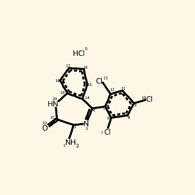 Cl.NC1N=C(c2c(Cl)cc(Cl)cc2Cl)c2ccccc2NC1=O